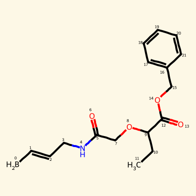 B/C=C/CNC(=O)COC(CC)C(=O)OCc1ccccc1